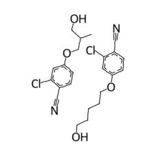 CC(CO)COc1ccc(C#N)c(Cl)c1.N#Cc1ccc(OCCCCCO)cc1Cl